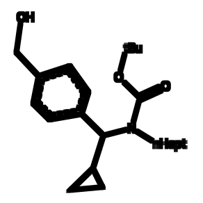 CCCCCCCN(C(=O)OC(C)(C)C)C(c1ccc(CO)cc1)C1CC1